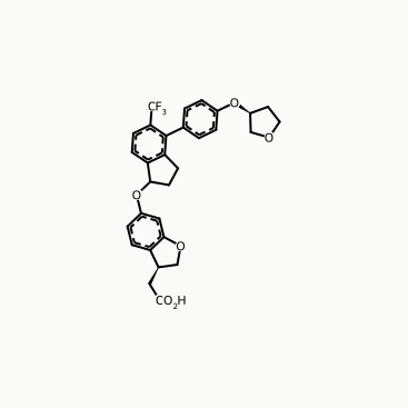 O=C(O)C[C@@H]1COc2cc(OC3CCc4c3ccc(C(F)(F)F)c4-c3ccc(O[C@H]4CCOC4)cc3)ccc21